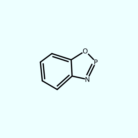 c1ccc2opnc2c1